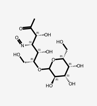 CC(=O)[C@H](O)[C@@H](N=O)[C@H](O)[C@@H](CO)OC1O[C@H](CO)[C@H](O)[C@H](O)[C@H]1O